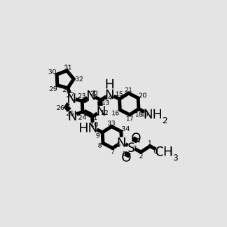 CCCS(=O)(=O)N1CCC(Nc2nc(NC3CCC(N)CC3)nc3c2ncn3C2CCCC2)CC1